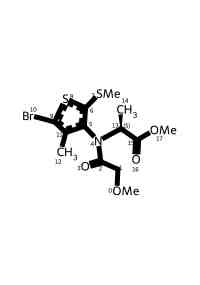 COCC(=O)N(c1c(SC)sc(Br)c1C)[C@@H](C)C(=O)OC